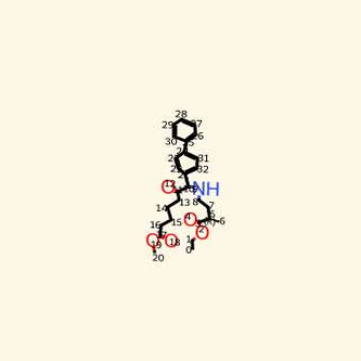 CCOC(=O)[C@H](C)CCNC(C(=O)CCCCC(=O)OC)c1ccc(-c2ccccc2)cc1